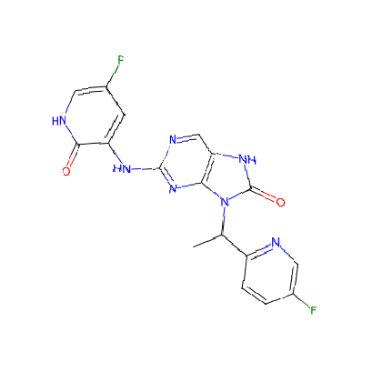 CC(c1ccc(F)cn1)n1c(=O)[nH]c2cnc(Nc3cc(F)c[nH]c3=O)nc21